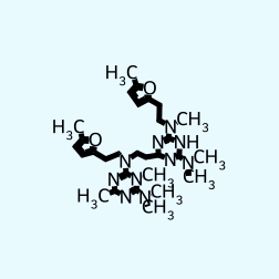 Cc1ccc(CCN(C)C2=NC(CCN(CCc3ccc(C)o3)C3=NC(C)N=C(N(C)C)N3C)N=C(N(C)C)N2)o1